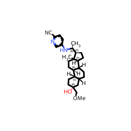 COC[C@@]1(O)CC[C@H]2[C@H](CC[C@@H]3[C@@H]2CC[C@]2(C)[C@@H]([C@@H](C)Nc4ccc(C#N)nc4)CC[C@@H]32)C1